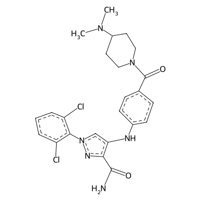 CN(C)C1CCN(C(=O)c2ccc(Nc3cn(-c4c(Cl)cccc4Cl)nc3C(N)=O)cc2)CC1